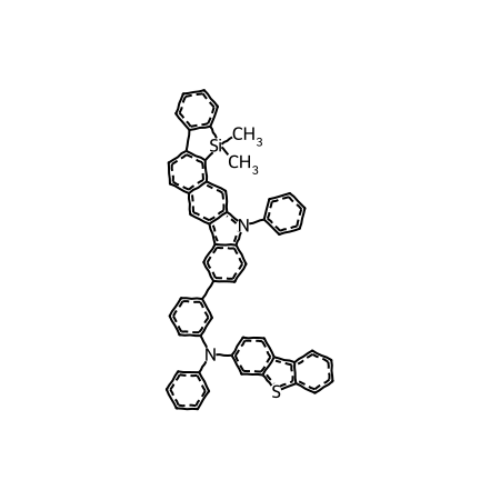 C[Si]1(C)c2ccccc2-c2ccc3cc4c5cc(-c6cccc(N(c7ccccc7)c7ccc8c(c7)sc7ccccc78)c6)ccc5n(-c5ccccc5)c4cc3c21